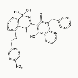 O=c1c(C2=NS(O)(O)c3cccc(OCc4ccc([N+](=O)[O-])cc4)c3N2)c(O)c2cccnc2n1Cc1ccccc1